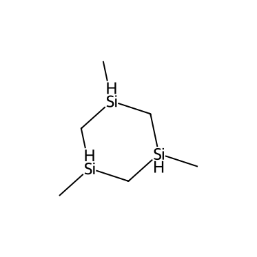 C[SiH]1C[SiH](C)C[SiH](C)C1